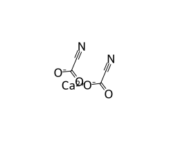 N#CC(=O)[O-].N#CC(=O)[O-].[Ca+2]